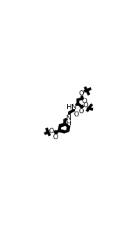 CC(C)(C)OC(=O)CC(NC(=O)CNCc1cccc(C(=O)OC(C)(C)C)c1)C(=O)OC(C)(C)C